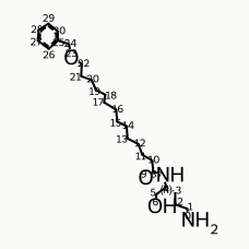 NCCC[C@H](CO)NC(=O)CCCCCCCCCCCCCOCc1ccccc1